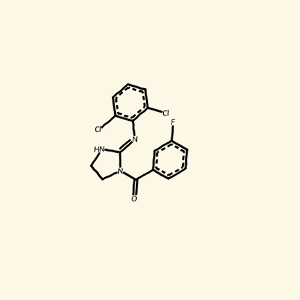 O=C(c1cccc(F)c1)N1CCNC1=Nc1c(Cl)cccc1Cl